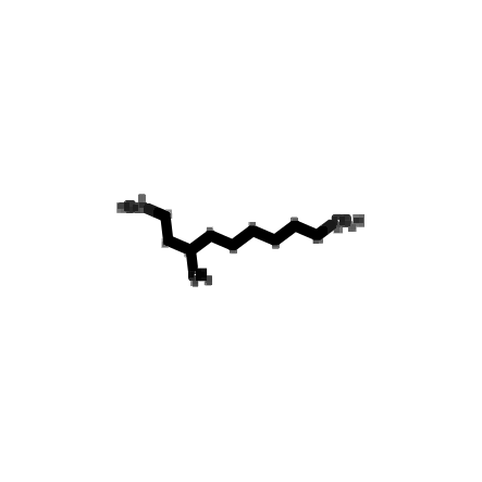 CCCCCCCCCCC(C)CCCCCCC(=O)O